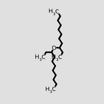 CCCCCCCCC(CC)OC(CC)CCCCCCCC